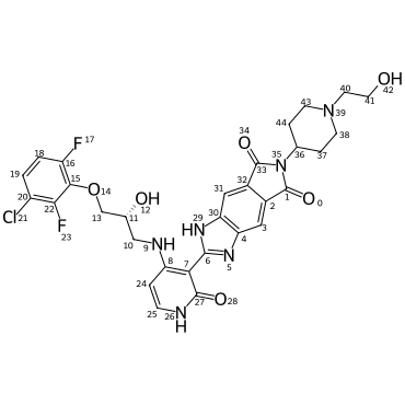 O=C1c2cc3nc(-c4c(NC[C@@H](O)COc5c(F)ccc(Cl)c5F)cc[nH]c4=O)[nH]c3cc2C(=O)N1C1CCN(CCO)CC1